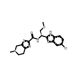 COC[C@H](NC(=O)c1nc2c(s1)CN(C)CC2)c1nc2cc(Cl)ccc2[nH]1